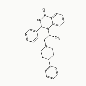 CC(CN1CCC(c2ccccc2)CC1)N1c2ccccc2C(=O)NC1c1ccccc1